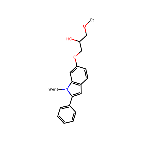 CCCCCn1c(-c2ccccc2)cc2ccc(OCC(O)COCC)cc21